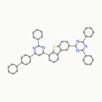 c1ccc(-c2ccc(-c3cc(-c4cccc5c4sc4ccc(-c6nc(-c7ccccc7)nc(-c7ccccc7)n6)cc45)nc(-c4ccccc4)n3)cc2)cc1